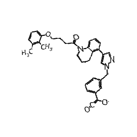 Cc1cccc(OCCCC(=O)N2CCCc3c(-c4cnn(Cc5cccc(C([O])=C=O)c5)c4)cccc32)c1C